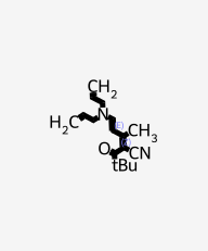 C=CCN(/C=C/C(C)=C(/C#N)C(=O)C(C)(C)C)CC=C